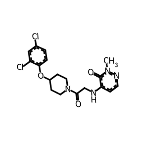 Cn1nccc(NCC(=O)N2CCC(Oc3ccc(Cl)cc3Cl)CC2)c1=O